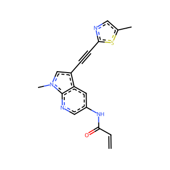 C=CC(=O)Nc1cnc2c(c1)c(C#Cc1ncc(C)s1)cn2C